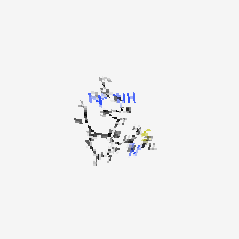 CC1=NC2(CCc3cccc(-c4cscn4)c3C2)CN1